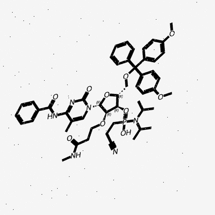 CNC(=O)CCO[C@@H]1[C@H](O[PH](O)(CCC#N)N(C(C)C)C(C)C)[C@@H](COC(c2ccccc2)(c2ccc(OC)cc2)c2ccc(OC)cc2)O[C@H]1n1cc(C)c(NC(=O)c2ccccc2)nc1=O